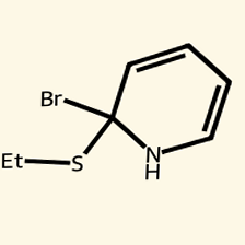 CCSC1(Br)C=CC=CN1